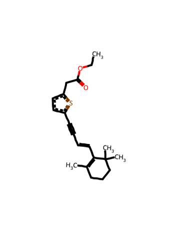 CCOC(=O)Cc1ccc(C#C/C=C/C2=C(C)CCCC2(C)C)s1